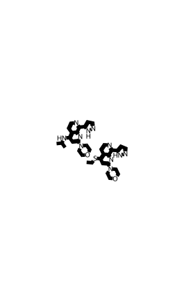 CC(C)Nc1cc(N2CCOCC2)nc2c(-c3ccn[nH]3)nccc12.CCSc1cc(N2CCOCC2)nc2c(-c3ccn[nH]3)nccc12